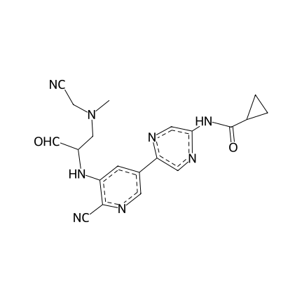 CN(CC#N)CC(C=O)Nc1cc(-c2cnc(NC(=O)C3CC3)cn2)cnc1C#N